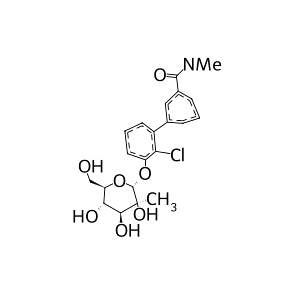 CNC(=O)c1cccc(-c2cccc(O[C@H]3O[C@H](CO)[C@@H](O)[C@H](O)[C@]3(C)O)c2Cl)c1